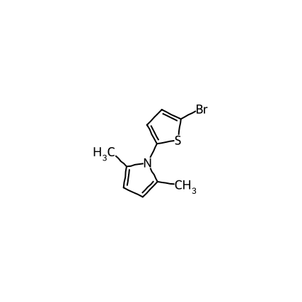 Cc1ccc(C)n1-c1ccc(Br)s1